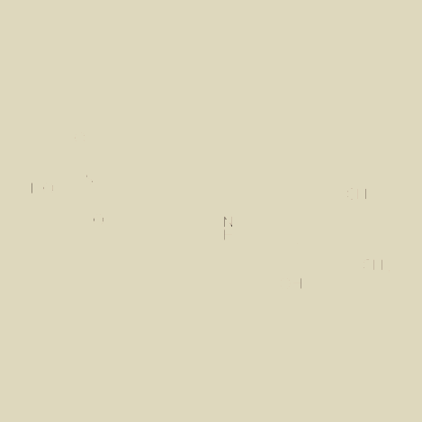 CC(C)=C(O)CNCCCS(=O)(=O)O